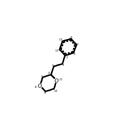 c1ccc(CCC2COCCO2)cc1